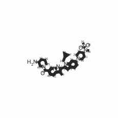 Cc1c(-c2cc3ccc(N4CCC(N(C)S(C)(=O)=O)CC4)cc3n2CC2CC2)nn2cc(C(=O)N3CCC[C@@H](N)C3)ccc12